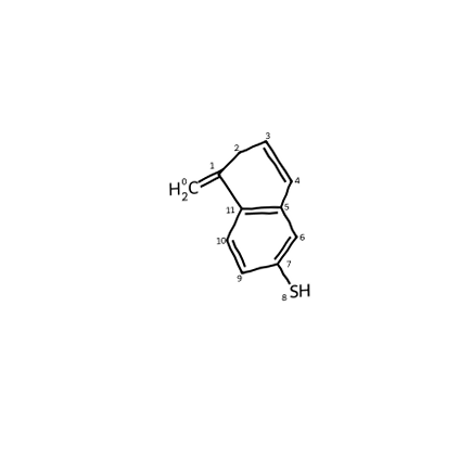 C=C1CC=Cc2cc(S)ccc21